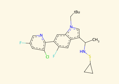 CC(NSC1CC1)c1cn(CC(C)(C)C)c2cc(-c3ncc(F)cc3Cl)c(F)cc12